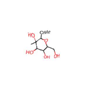 COC1OC(CO)C(O)C(O)C1(C)O